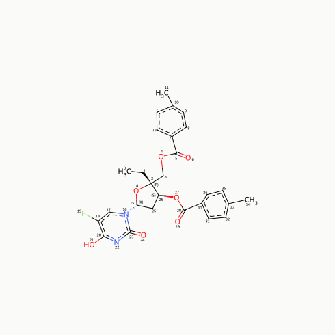 CC[C@]1(COC(=O)c2ccc(C)cc2)O[C@@H](n2cc(F)c(O)nc2=O)C[C@@H]1OC(=O)c1ccc(C)cc1